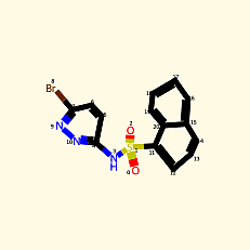 O=S(=O)(Nc1ccc(Br)nn1)c1cccc2ccccc12